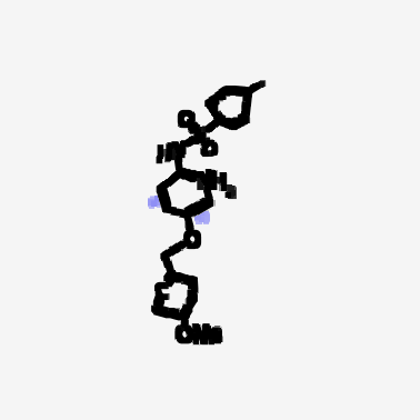 C=C(/C=C\C(=C/N)OCc1ccc(OC)cc1)NS(=O)(=O)c1ccc(C)cc1